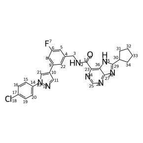 O=C(NCc1cc(F)cc(-c2cnn(-c3ccc(Cl)cc3)c2)c1)c1ncnc2nc(C3CCCC3)[nH]c12